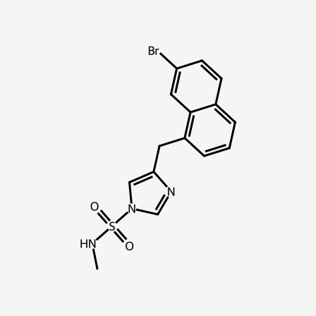 CNS(=O)(=O)n1cnc(Cc2cccc3ccc(Br)cc23)c1